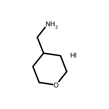 I.NCC1CCOCC1